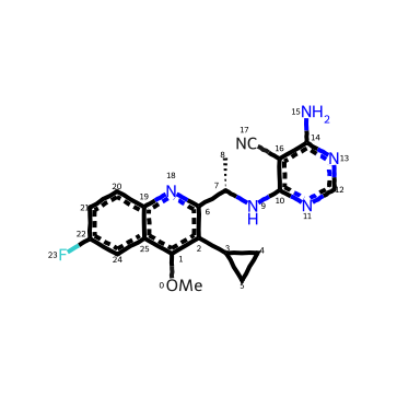 COc1c(C2CC2)c([C@H](C)Nc2ncnc(N)c2C#N)nc2ccc(F)cc12